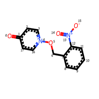 O=c1ccn(OCc2ccccc2[N+](=O)[O-])cc1